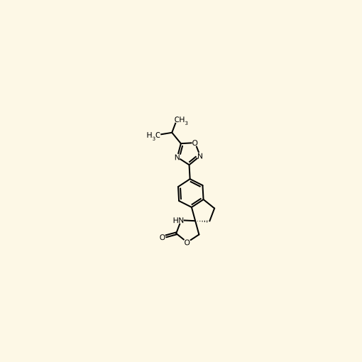 CC(C)c1nc(-c2ccc3c(c2)CC[C@@]32COC(=O)N2)no1